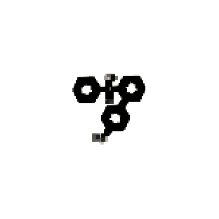 Cc1ccc(-c2ccccc2P(=O)(O)c2ccccc2)cc1